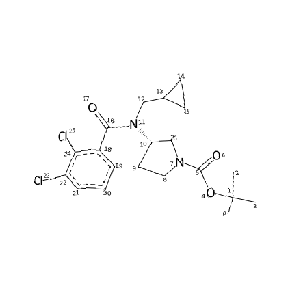 CC(C)(C)OC(=O)N1CC[C@H](N(CC2CC2)C(=O)c2cccc(Cl)c2Cl)C1